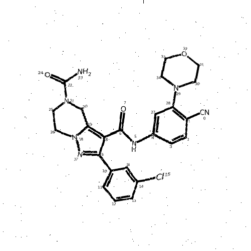 N#Cc1ccc(NC(=O)c2c(-c3cccc(Cl)c3)nn3c2CN(C(N)=O)CC3)cc1N1CCOCC1